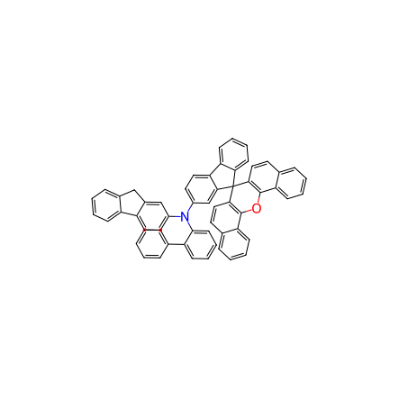 c1ccc(-c2ccccc2N(c2ccc3c(c2)Cc2ccccc2-3)c2ccc3c(c2)C2(c4ccccc4-3)c3ccc4ccccc4c3Oc3c2ccc2ccccc32)cc1